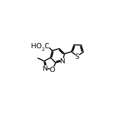 Cc1noc2nc(-c3cccs3)cc(C(=O)O)c12